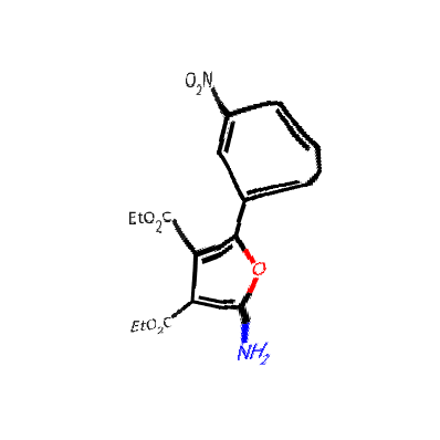 CCOC(=O)c1c(N)oc(-c2cccc([N+](=O)[O-])c2)c1C(=O)OCC